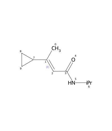 C/C(=C\C(=O)NC(C)C)C1CC1